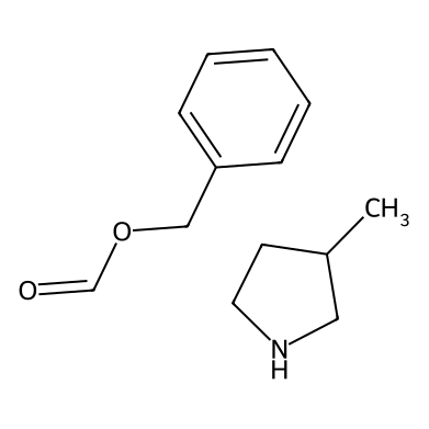 CC1CCNC1.O=COCc1ccccc1